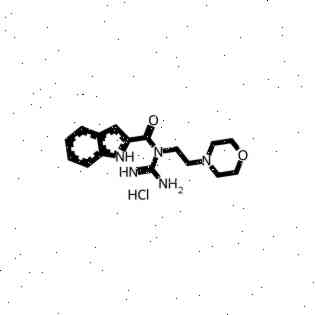 Cl.N=C(N)N(CCN1CCOCC1)C(=O)c1cc2ccccc2[nH]1